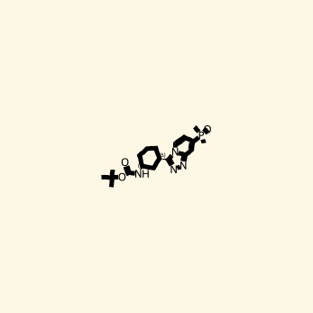 CC(C)(C)OC(=O)N[C@@H]1CCC[C@H](c2nnc3cc(P(C)(C)=O)ccn23)C1